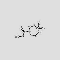 CC(C)(C)OC(=O)N1CCNS(=O)(=O)CC1